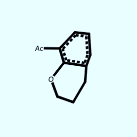 CC(=O)c1cccc2c1OCCC2